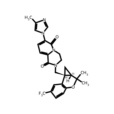 Cc1cn(-c2ccc3n(c2=O)CCN(C[C@@]24C[C@@H]2C(C)(C)Oc2ccc(C(F)(F)F)cc24)C3=O)cn1